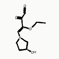 CCOC(=CN1CC[C@H](O)C1)C(=O)C=O